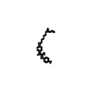 C=CCN(C)CCCCCCOc1ccc(N(C)C(=S)Oc2ccc(F)cc2)cc1